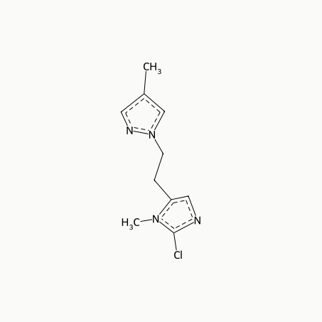 Cc1cnn(CCc2cnc(Cl)n2C)c1